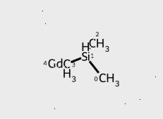 C[SiH](C)C.[Gd]